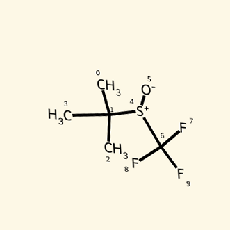 CC(C)(C)[S+]([O-])C(F)(F)F